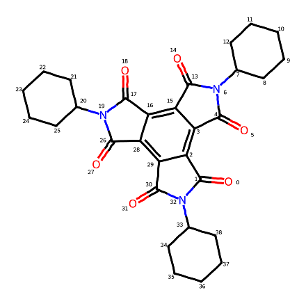 O=c1c2c3c(=O)n(C4CCCCC4)c(=O)c3c3c(=O)n(C4CCCCC4)c(=O)c3c2c(=O)n1C1CCCCC1